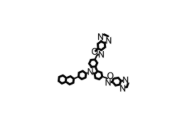 c1ccc2cc(-c3ccc(-n4c5ccc(-c6nc7cc8nccnc8cc7o6)cc5c5cc(-c6nc7cc8nccnc8cc7o6)ccc54)cc3)ccc2c1